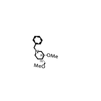 COC[C@@H]1CCN(Cc2ccccc2)C[C@@H]1OC